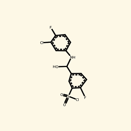 O=S(=O)(Cl)c1cc(C(O)Nc2ccc(F)c(Cl)c2)ccc1F